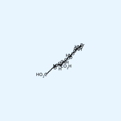 CN(C(=O)CCCCCCCCCCC(=O)O)C1CCC(C(=O)N[C@@H](CCC(=O)NCCOCCOCC(=O)NCCOCCOCC(=O)NCCNC(=O)CBr)C(=O)O)CC1